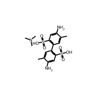 CN(C)C.Cc1cc(-c2cc(C)c(N)cc2S(=O)(=O)O)c(S(=O)(=O)O)cc1N